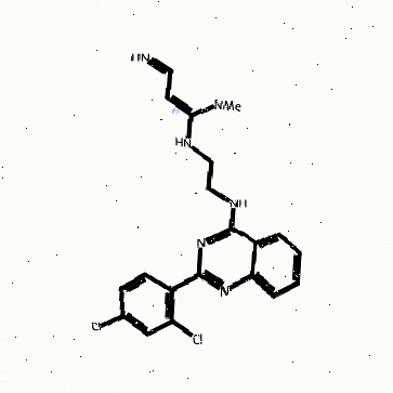 CN/C(=C\C=N)NCCNc1nc(-c2ccc(Cl)cc2Cl)nc2ccccc12